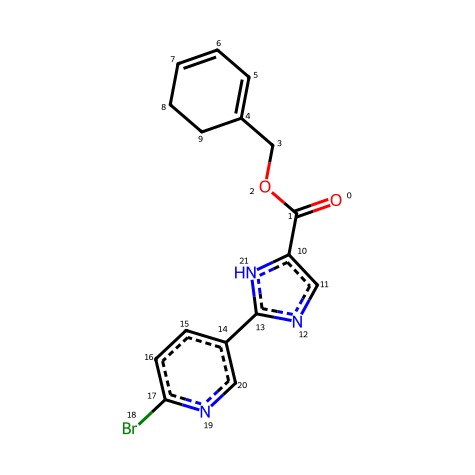 O=C(OCC1=CC=CCC1)c1cnc(-c2ccc(Br)nc2)[nH]1